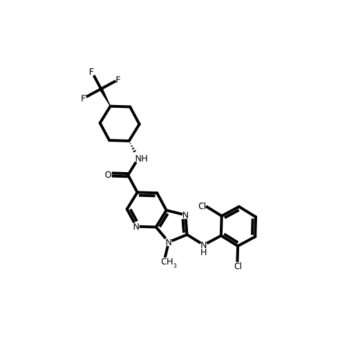 Cn1c(Nc2c(Cl)cccc2Cl)nc2cc(C(=O)N[C@H]3CC[C@H](C(F)(F)F)CC3)cnc21